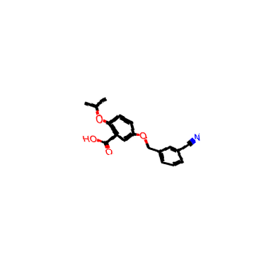 CC(C)Oc1ccc(OCc2cccc(C#N)c2)cc1C(=O)O